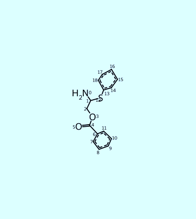 NC(COC(=O)c1ccccc1)Sc1ccccc1